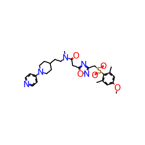 COc1cc(C)c(S(=O)(=O)Cc2noc(CC(=O)N(C)CCC3CCN(c4ccncc4)CC3)n2)c(C)c1